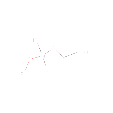 CCCCCCO[Si](O)(O)OCC